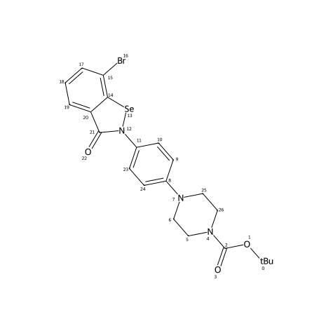 CC(C)(C)OC(=O)N1CCN(c2ccc(-n3[se]c4c(Br)cccc4c3=O)cc2)CC1